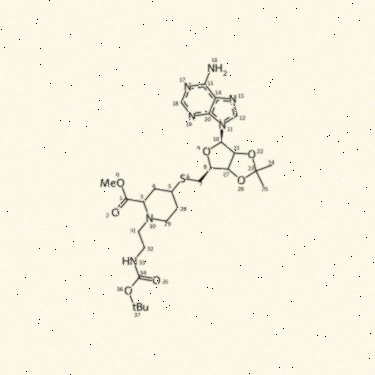 COC(=O)C1CC(SC[C@H]2O[C@@H](n3cnc4c(N)ncnc43)C3OC(C)(C)OC32)CCN1CCNC(=O)OC(C)(C)C